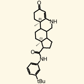 CC(C)(C)c1cccc(NC(=O)C2CCC3C4CNC5=CC(=O)CC[C@]5(C)C4CC[C@]23C)c1